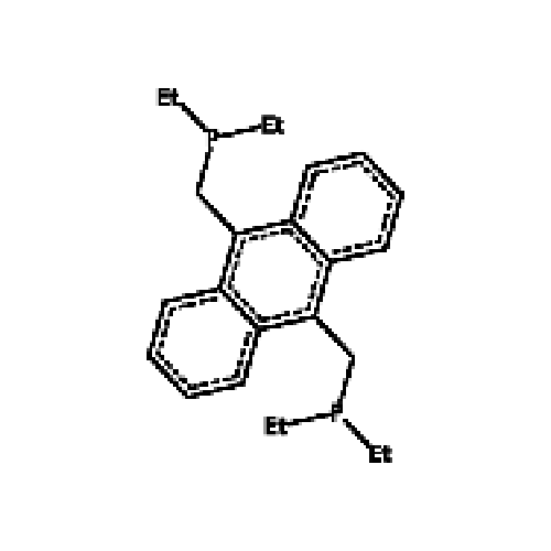 CCP(CC)Cc1c2ccccc2c(CP(CC)CC)c2ccccc12